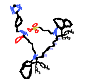 CC1(C)C(/C=C/C=C/C=C/C=C2\N(CCCCS(=O)(=O)[O-])c3ccc4ccccc4c3C2(C)C)=[N+](CCCCCC(=O)NCc2ccc(-c3nncnn3)cc2)c2ccc3ccccc3c21